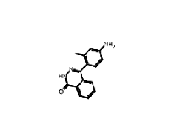 Cc1cc(N)ccc1-c1n[nH]c(=O)c2ccccc12